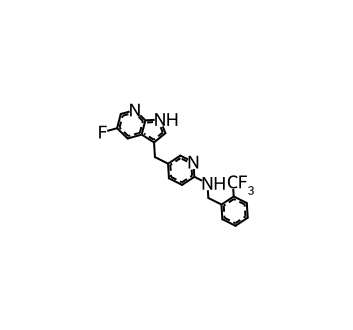 Fc1cnc2[nH]cc(Cc3ccc(NCc4ccccc4C(F)(F)F)nc3)c2c1